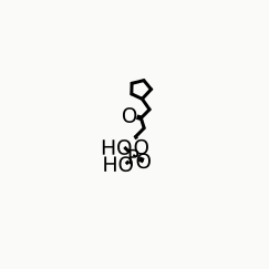 O=C(CCOP(=O)(O)O)CC1CCCC1